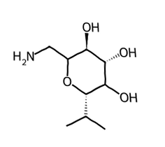 CC(C)[C@@H]1OC(CN)[C@@H](O)[C@H](O)C1O